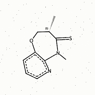 C[C@H]1COc2cccnc2N(C)C1=S